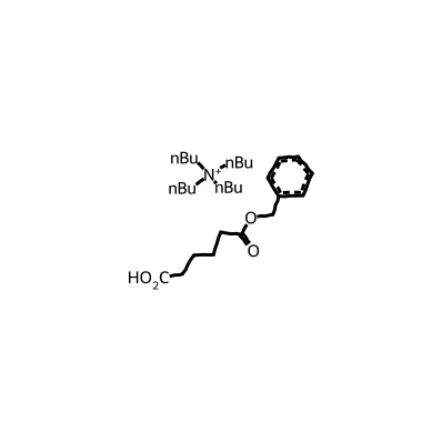 CCCC[N+](CCCC)(CCCC)CCCC.O=C(O)CCCCC(=O)OCc1ccccc1